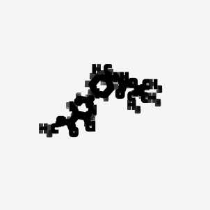 COC(=O)c1ncc(N2CCC(C)(NC(=O)OC(C)(C)C)CC2)nc1Cl